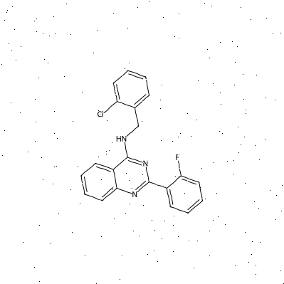 Fc1ccccc1-c1nc(NCc2ccccc2Cl)c2ccccc2n1